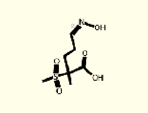 CC(CC/C=N\O)(C(=O)O)S(C)(=O)=O